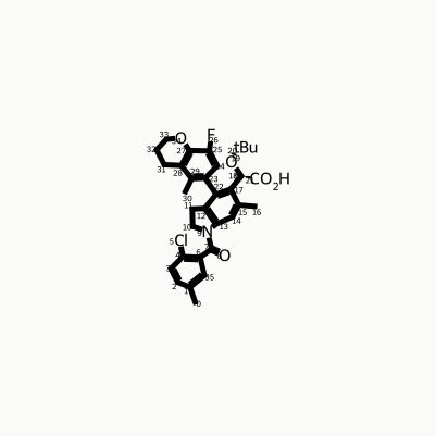 Cc1ccc(Cl)c(C(=O)N2CCc3c2cc(C)c([C@H](OC(C)(C)C)C(=O)O)c3-c2cc(F)c3c(c2C)CCCO3)c1